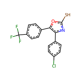 FC(F)(F)c1ccc(-c2oc(S)nc2-c2ccc(Cl)cc2)cc1